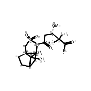 CCC(=O)C(C)(C)[C@H](CC(=O)N1C2CC3CC[C@]2(CS1(=O)=O)C3(C)C)OC